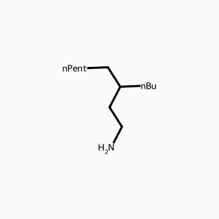 CCCCCCC(CCN)CCCC